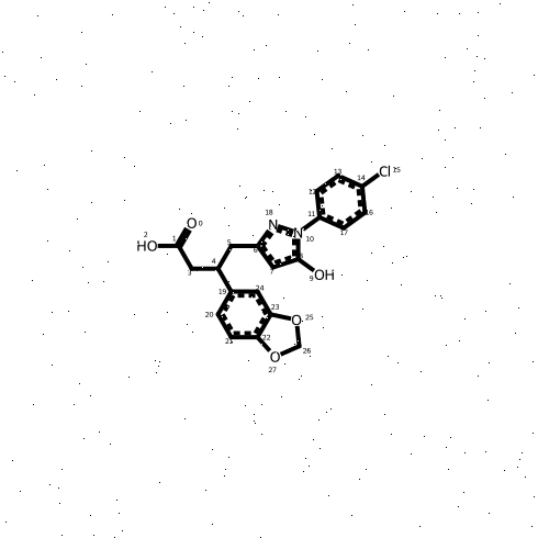 O=C(O)CC(Cc1cc(O)n(-c2ccc(Cl)cc2)n1)c1ccc2c(c1)OCO2